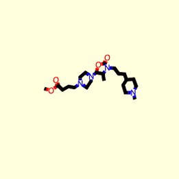 COC(=O)CCCN1CCN(C2OC(=O)N(CCCC3CCN(C)CC3)C2C)CC1